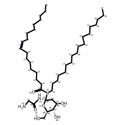 CCCCCCCC/C=C\CCCCCCCC(=O)N(CCCCCCCCCCCCCCCCCC)[C@@]1(NC(=O)CN)C[C@@H](O)[C@H](O)[C@@H](CO)O1